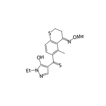 CCn1ncc(C(=S)c2ccc3c(c2C)C(=NOC)CCS3)c1O